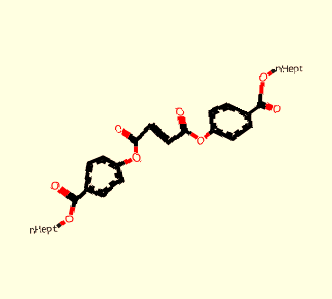 CCCCCCCOC(=O)c1ccc(OC(=O)C=CC(=O)Oc2ccc(C(=O)OCCCCCCC)cc2)cc1